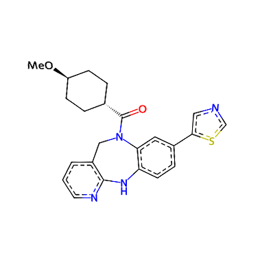 CO[C@H]1CC[C@H](C(=O)N2Cc3cccnc3Nc3ccc(-c4cncs4)cc32)CC1